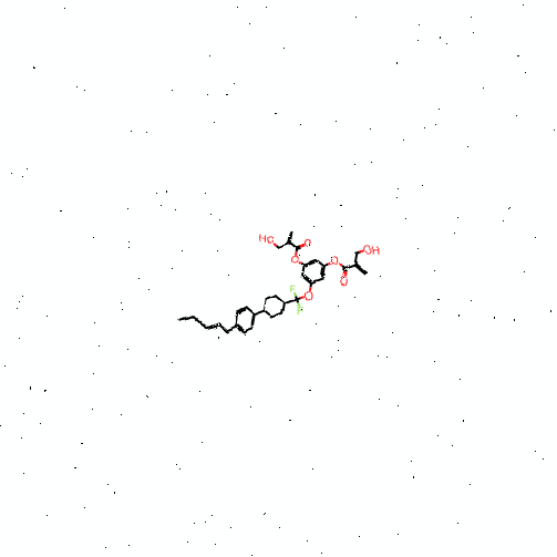 C=C(CO)C(=O)Oc1cc(OC(=O)C(=C)CO)cc(OC(F)(F)C2CCC(c3ccc(CCCCC)cc3)CC2)c1